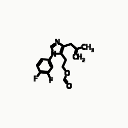 C=C(C)Cc1ncn(-c2ccc(F)c(F)c2)c1CCOC=O